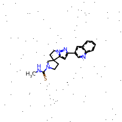 CNC(=S)N1CCC2(CCn3nc(-c4cnc5ccccc5c4)cc32)C1